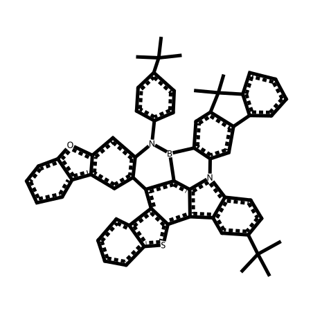 CC(C)(C)c1ccc(N2B3c4cc5c(cc4-n4c6ccc(C(C)(C)C)cc6c6c7sc8ccccc8c7c(c3c64)-c3cc4c(cc32)oc2ccccc24)-c2ccccc2C5(C)C)cc1